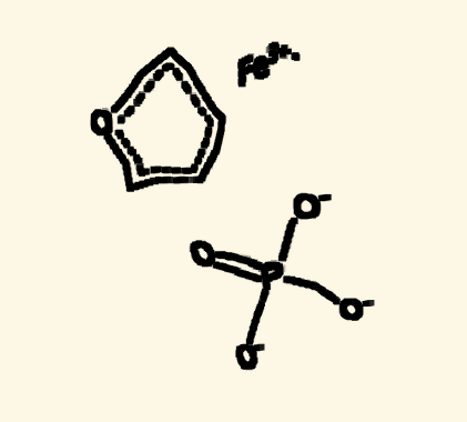 O=P([O-])([O-])[O-].[Fe+3].c1ccoc1